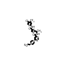 C[C@@H](NC(=O)c1cc(N2CCN(CCOF)CC2)ncn1)c1ncc(C(=O)Nc2cc(C(F)(F)F)c(Cl)cn2)s1